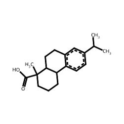 CC(C)c1ccc2c(c1)CCC1C2CCCC1(C)C(=O)O